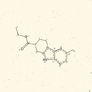 CCOC(=O)C1CCc2c([nH]c3ccc(C)cc23)C1